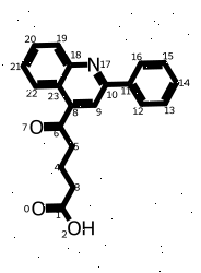 O=C(O)CCCC(=O)c1cc(-c2ccccc2)nc2ccccc12